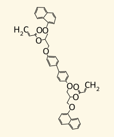 C=CC(=O)OC(COc1ccc(-c2ccc(OCC(COc3cccc4ccccc34)OC(=O)C=C)cc2)cc1)COc1cccc2ccccc12